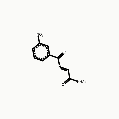 CC(=O)NC(=O)C=NC(=O)c1cccc([N+](=O)[O-])c1